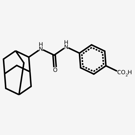 O=C(Nc1ccc(C(=O)O)cc1)NC1C2CC3CC(C2)CC1C3